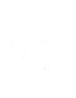 NS(=O)(=O)C1=CC(NC(=O)Cc2ccccc2Cl)=CC2C1C=NN2CCN1CCOCC1